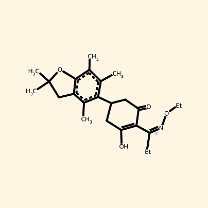 CCO/N=C(/CC)C1=C(O)CC(c2c(C)c(C)c3c(c2C)CC(C)(C)O3)CC1=O